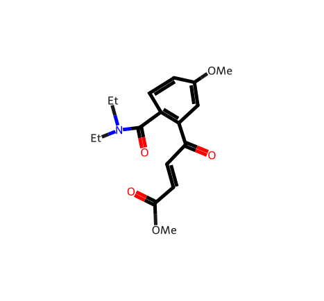 CCN(CC)C(=O)c1ccc(OC)cc1C(=O)/C=C/C(=O)OC